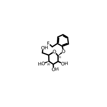 OCC1O[C@@H](Oc2ccccc2CF)C(O)C(O)[C@H]1O